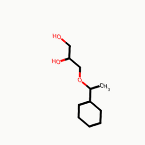 CC(OCC(O)CO)C1CCCCC1